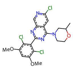 COc1cc(OC)c(Cl)c(-c2nc(N3CCOC(C)C3)c3cc(Cl)ncc3n2)c1Cl